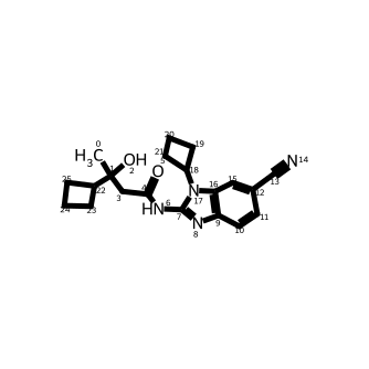 CC(O)(CC(=O)Nc1nc2ccc(C#N)cc2n1C1CCC1)C1CCC1